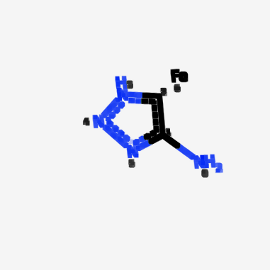 Nc1c[nH]nn1.[Fe]